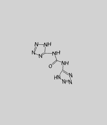 O=C(Nc1nnn[nH]1)Nc1nnn[nH]1